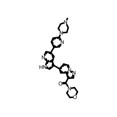 CN1CCN(c2ccc(-c3cnc4[nH]cc(-c5ccn6ncc(C(=O)N7CCOCC7)c6c5)c4c3)cn2)CC1